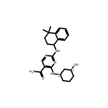 CC1(C)CCC(Nc2ncc(C(N)=O)c(N[C@@H]3CCC[C@H](O)C3)n2)c2ccccc21